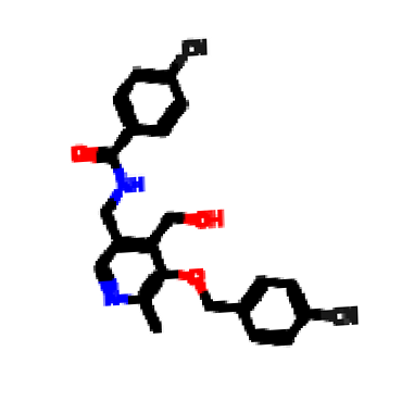 Cc1ncc(CNC(=O)c2ccc(C#N)cc2)c(CO)c1OCc1ccc(C#N)cc1